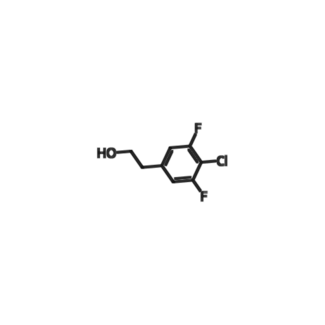 OCCc1cc(F)c(Cl)c(F)c1